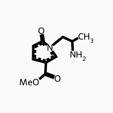 COC(=O)c1ccc(=O)n(CC(C)N)c1